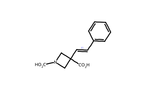 O=C(O)N1CC(/C=C/c2ccccc2)(C(=O)O)C1